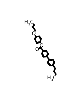 CCCCOc1ccc(OC(=O)c2ccc(-c3ccc(CCCC)cc3)cc2)cc1